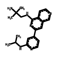 CC(C)Nc1cc(-c2cc3cnccc3c(NCC(C)(C)N)n2)ccn1